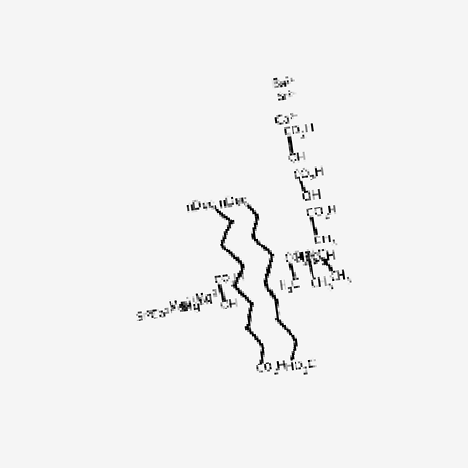 CC(=O)O.CC(=O)O.CC(=O)O.CC(=O)O.CCCCCCCCCCCCCCCCCC(=O)O.CCCCCCCCCCCCCCCCCC(=O)O.O=C(O)O.O=C(O)O.O=C(O)O.[Ba+2].[Ca+2].[Ca+2].[Mg+2].[Mg+2].[Mg+2].[Sr+2].[Sr+2]